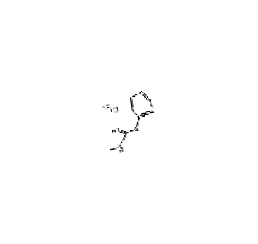 CNC(=N)Sc1ccncc1.Cl.Cl